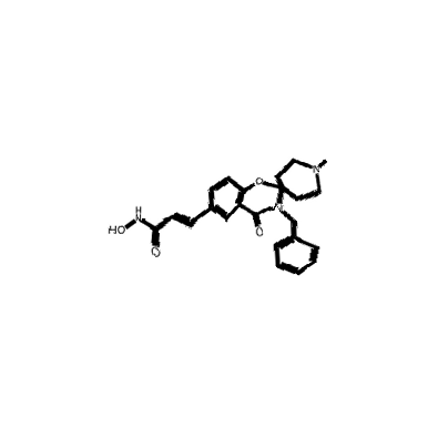 CN1CCC2(CC1)Oc1ccc(/C=C/C(=O)NO)cc1C(=O)N2Cc1ccccc1